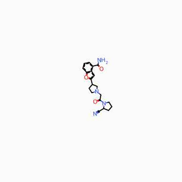 N#CC1CCCN1C(=O)CN1CCC(c2cc3c(C(N)=O)cccc3o2)C1